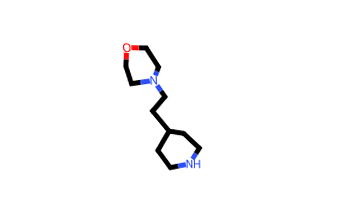 C1CC(CCN2CCOCC2)CCN1